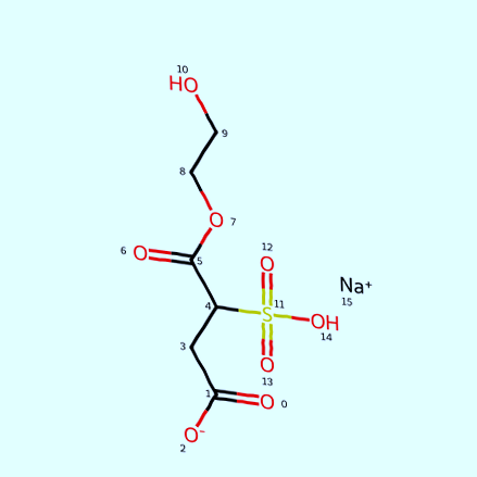 O=C([O-])CC(C(=O)OCCO)S(=O)(=O)O.[Na+]